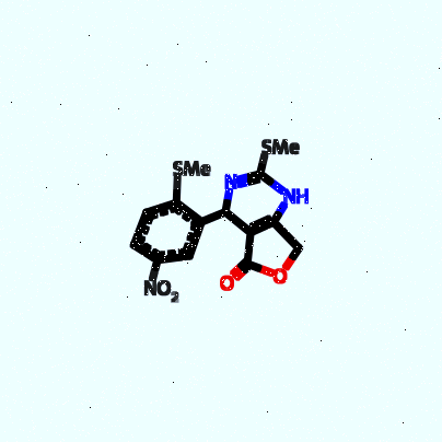 CSC1=NC(c2cc([N+](=O)[O-])ccc2SC)C2=C(COC2=O)N1